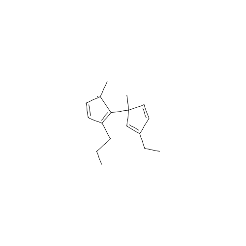 CCCC1=C(C2(C)C=CC(CC)=C2)[C](C)C=C1